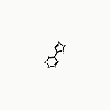 C1=NOOC=C1c1cnon1